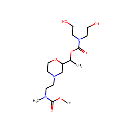 CC(C)OC(=O)N(C)CCN1CCOC(C(C)OC(=O)N(CCO)CCO)C1